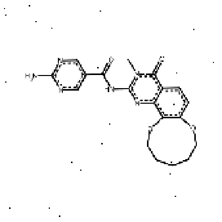 Cn1c(NC(=O)c2cnc(N)nc2)nc2c3c(ccc2c1=O)OCCCCCO3